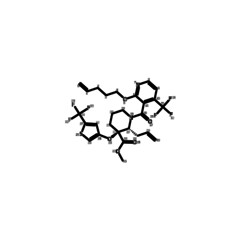 C=CCCCOc1nccc(C(F)(F)F)c1C(=O)N1CCC[C@@](Oc2csc(C(F)(F)F)c2)(C(=O)OC)[C@H]1CC=C